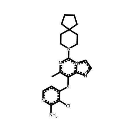 Cc1nc(N2CCC3(CCCC3)CC2)n2ccnc2c1Sc1ccnc(N)c1Cl